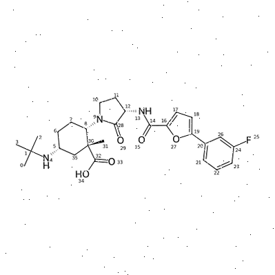 CC(C)(C)N[C@@H]1CC[C@H](N2CC[C@H](NC(=O)c3ccc(-c4cccc(F)c4)o3)C2=O)[C@](C)(C(=O)O)C1